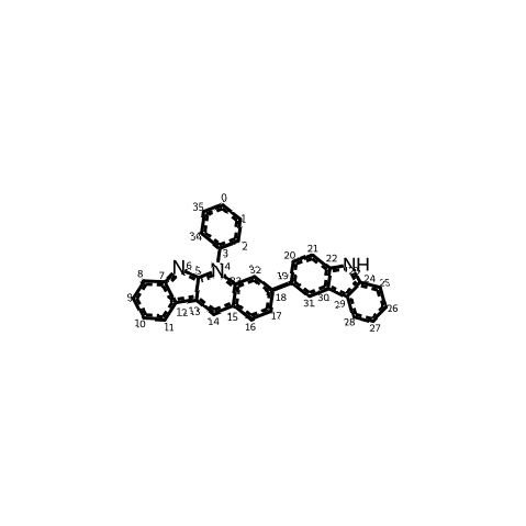 c1ccc(-n2c3nc4ccccc4c-3cc3ccc(-c4ccc5[nH]c6ccccc6c5c4)cc32)cc1